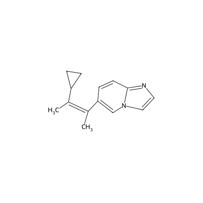 C/C(=C(\C)C1CC1)c1ccc2nccn2c1